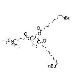 [CH2]C(COC(=O)CCCCCCC/C=C\CCCC)(COC(=O)CCCCCCC/C=C\CCCC)COC(=O)CCCCN(C)C